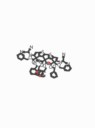 N#CC(C#N)=NC1=Cc2sc3c(c2C1(C(=O)OCc1ccccc1)C(=O)OCc1ccccc1)C(C(=O)OCc1ccccc1)(C(=O)OCc1ccccc1)c1c-3sc2c1C(C(=O)OCc1ccccc1)(C(=O)OCc1ccccc1)C(N=C(C#N)C#N)=C2